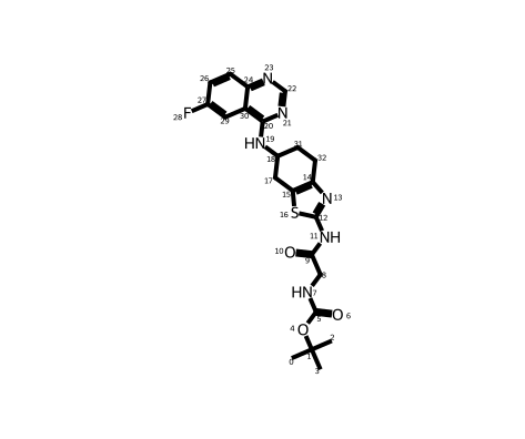 CC(C)(C)OC(=O)NCC(=O)Nc1nc2c(s1)CC(Nc1ncnc3ccc(F)cc13)CC2